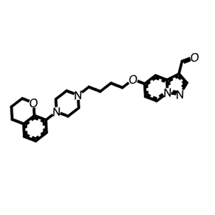 O=Cc1cnn2ccc(OCCCCN3CCN(c4cccc5c4OCCC5)CC3)cc12